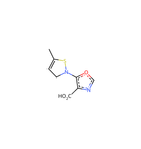 CC1=[C][CH]N(c2ocnc2C(=O)O)S1